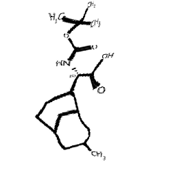 CC1CC2CCC([C@H](NC(=O)OC(C)(C)C)C(=O)O)C(C1)C2